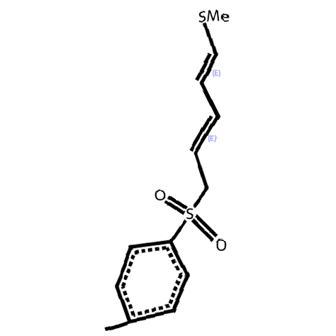 CS/C=C/C=C/CS(=O)(=O)c1ccc(C)cc1